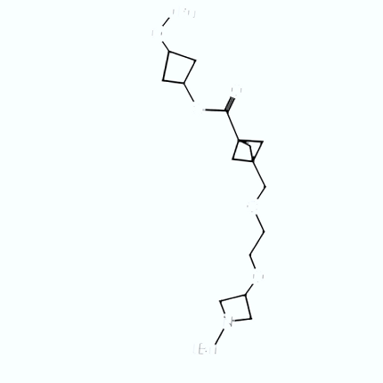 CC(C)(C)OC1CC(OC(=O)C23CC(COCCOC4CN(C(C)(C)C)C4)(C2)C3)C1